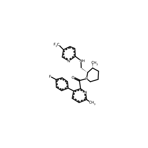 Cc1ccc(-c2ccc(F)cc2)c(C(=O)N2CCC[C@@H](C)[C@H]2CNc2ccc(C(F)(F)F)cn2)n1